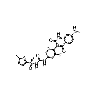 CNc1ccc2c(=O)n(-c3ncc(NC(=O)NS(=O)(=O)c4ccc(C)s4)cc3F)c(=O)[nH]c2c1